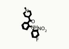 CN1CCC(C(=O)c2ccccc2Nc2ccc(F)cc2[N+](=O)[O-])CC1